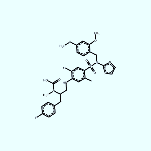 COc1ccc(CN(c2nccs2)S(=O)(=O)c2cc(Cl)c(NCC(Cc3ccc(F)cc3)N(C)C(=O)O)cc2F)c(OC)c1